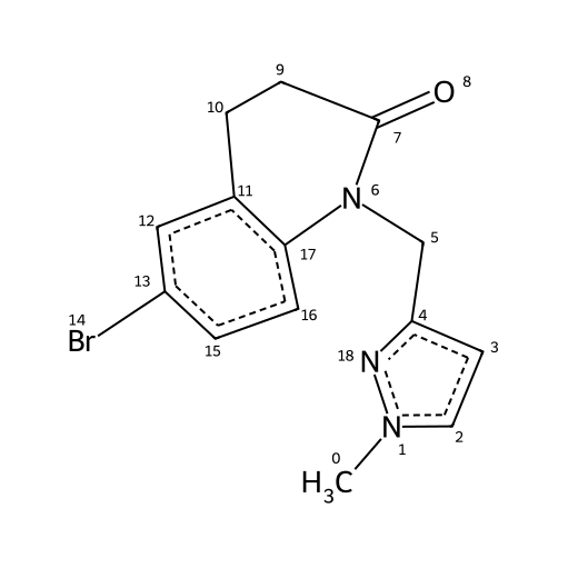 Cn1ccc(CN2C(=O)CCc3cc(Br)ccc32)n1